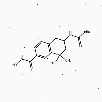 CCCCC(=O)NC1Cc2ccc(C(=O)NO)cc2C(C)(C)C1